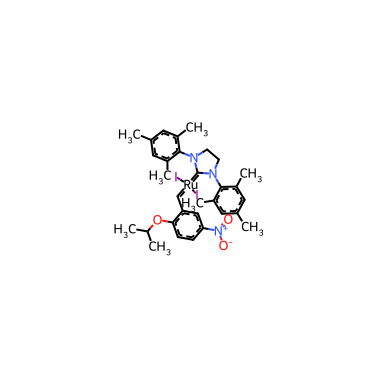 Cc1cc(C)c(N2CCN(c3c(C)cc(C)cc3C)[C]2=[Ru]([I])([I])=[CH]c2cc([N+](=O)[O-])ccc2OC(C)C)c(C)c1